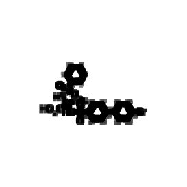 CCCCC(NS(=O)(=O)c1ccccc1)(NS(=O)(=O)c1ccc(-c2ccc(Br)cc2)cc1)C(=O)O